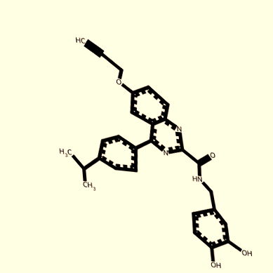 C#CCOc1ccc2nc(C(=O)NCc3ccc(O)c(O)c3)nc(-c3ccc(C(C)C)cc3)c2c1